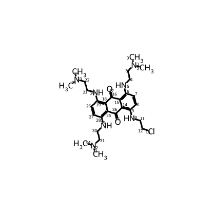 CN(C)CCNc1ccc(NCCCl)c2c1C(=O)c1c(NCCN(C)C)ccc(NCCN(C)C)c1C2=O